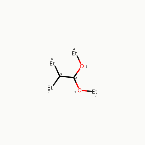 CCOC(OCC)C(CC)CC